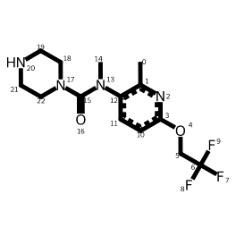 Cc1nc(OCC(F)(F)F)ccc1N(C)C(=O)N1CCNCC1